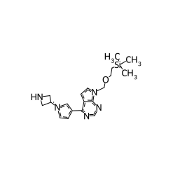 C[Si](C)(C)CCOCn1ccc2c(-c3ccn([C]4CNC4)c3)ncnc21